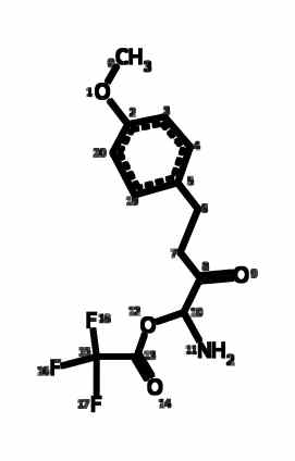 COc1ccc(CCC(=O)C(N)OC(=O)C(F)(F)F)cc1